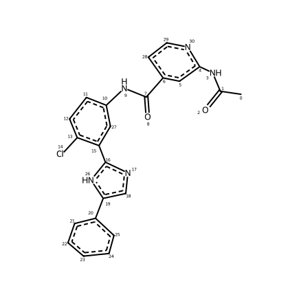 CC(=O)Nc1cc(C(=O)Nc2ccc(Cl)c(-c3ncc(-c4ccccc4)[nH]3)c2)ccn1